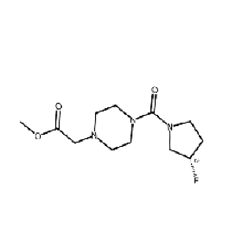 COC(=O)CN1CCN(C(=O)N2CC[C@H](F)C2)CC1